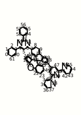 c1ccc(-c2cc(-c3ccc4c(c3)C3(c5ccccc5Oc5ccccc53)c3cc(-c5cc(-c6ccccn6)nc(-c6ccccn6)c5)ccc3-4)nc(-c3ccccc3)n2)cc1